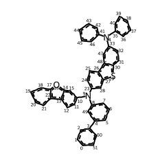 c1ccc(-c2cccc(N(c3ccc4c(c3)oc3ccccc34)c3ccc4c(c3)sc3ccc(N(c5ccccc5)c5ccccc5)cc34)c2)cc1